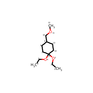 CCOC1(OCC)CCC(COC)CC1